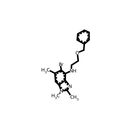 Cc1cc2c(nc(C)n2C)c(NCCOCc2ccccc2)c1Br